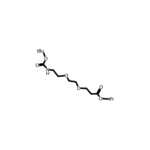 CC(C)OC(=O)CCOCCOCCNC(=O)OC(C)(C)C